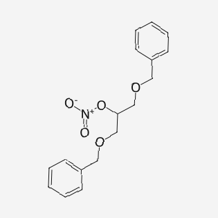 O=[N+]([O-])OC(COCc1ccccc1)COCc1ccccc1